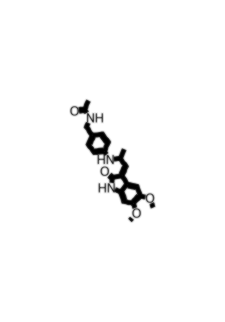 COc1cc2c(cc1OC)C(=CC(C)Nc1ccc(CNC(C)=O)cc1)C(=O)N2